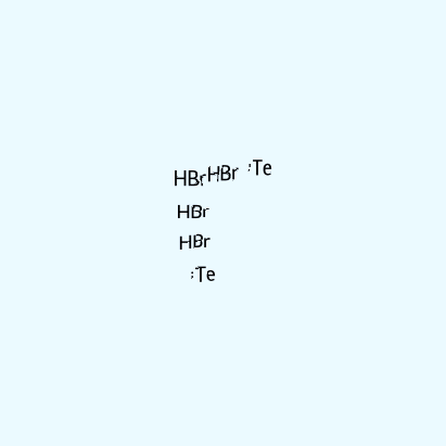 Br.Br.Br.Br.[Te].[Te]